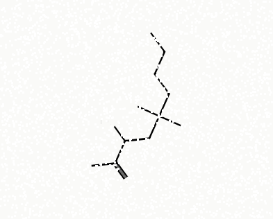 CCCCC(C)(C)CC(O)C(C)=O